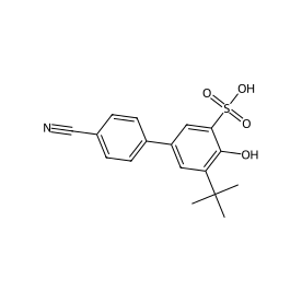 CC(C)(C)c1cc(-c2ccc(C#N)cc2)cc(S(=O)(=O)O)c1O